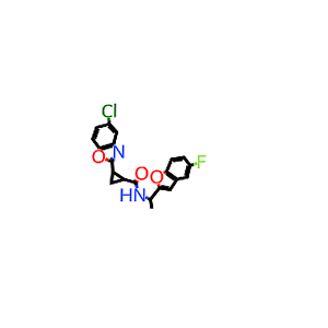 CC(NC(=O)C1CC1c1nc2cc(Cl)ccc2o1)c1cc2cc(F)ccc2o1